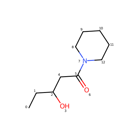 CCC(O)CC(=O)N1CCCCC1